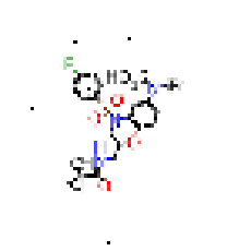 CC(C)N(C(=O)O)c1ccc2c(c1)N(S(=O)(=O)c1ccc(F)cc1)CC(CNC(=O)C1(C)CC1)O2